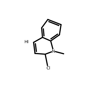 CN1c2ccccc2C=CC1Cl.I